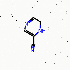 N#CC1=CN=CCN1